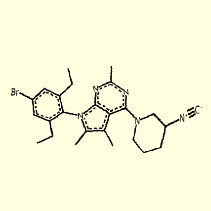 [C-]#[N+]C1CCCN(c2nc(C)nc3c2c(C)c(C)n3-c2c(CC)cc(Br)cc2CC)C1